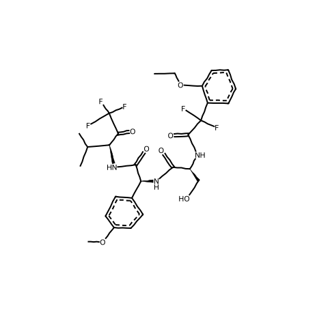 CCOc1ccccc1C(F)(F)C(=O)N[C@@H](CO)C(=O)N[C@H](C(=O)N[C@H](C(=O)C(F)(F)F)C(C)C)c1ccc(OC)cc1